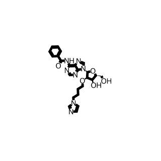 O=C(Nc1ncnc2c1ncn2[C@@H]1O[C@H](CO)[C@@H](O)[C@H]1OCCCCn1ccnc1)c1ccccc1